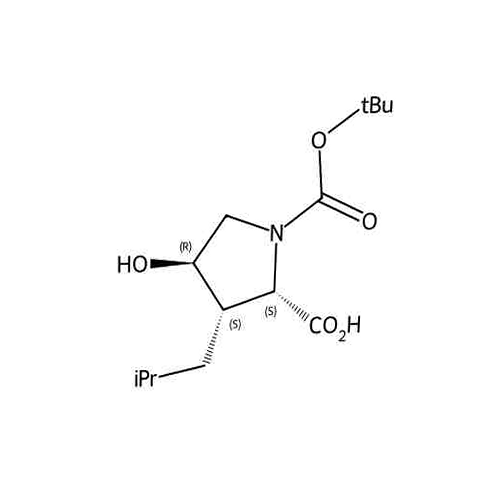 CC(C)C[C@H]1[C@@H](C(=O)O)N(C(=O)OC(C)(C)C)C[C@@H]1O